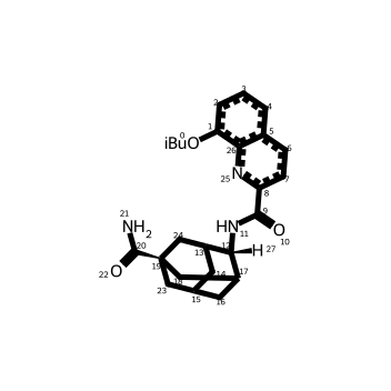 CC(C)COc1cccc2ccc(C(=O)N[C@H]3C4CC5CC3C[C@](C(N)=O)(C5)C4)nc12